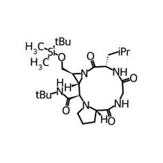 CC(C)C[C@@H]1NC(=O)CNC(=O)[C@@H]2CCCN2[C@@H](C(=O)NC(C)(C)C)[C@@H]2[C@@H](CO[Si](C)(C)C(C)(C)C)N2C1=O